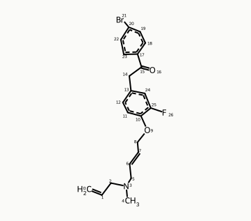 C=CCN(C)C/C=C/COc1ccc(CC(=O)c2ccc(Br)cc2)cc1F